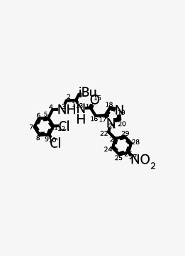 CCC(C)C(CNCc1cccc(Cl)c1Cl)NC(=O)Cc1cncn1Cc1ccc([N+](=O)[O-])cc1